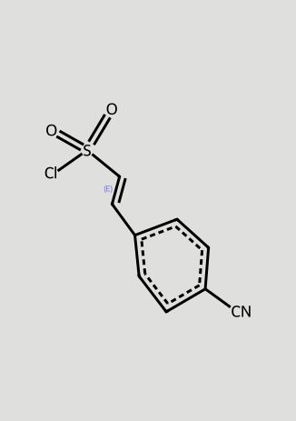 N#Cc1ccc(/C=C/S(=O)(=O)Cl)cc1